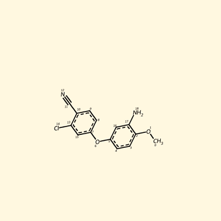 COc1ccc(Oc2ccc(C#N)c(Cl)c2)cc1N